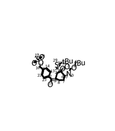 CN(C(=O)OC(C)(C)C)[C@@H]1CC[C@H](C(=O)c2ccc(COS(C)(=O)=O)cc2)C[C@H]1O[Si](C)(C)C(C)(C)C